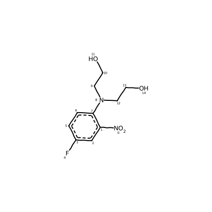 O=[N+]([O-])c1cc(F)ccc1N(CCO)CCO